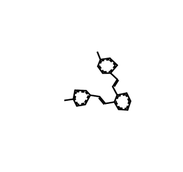 Cc1ccc(/C=C/c2ccccc2/C=C/c2ccc(C)cc2)cc1